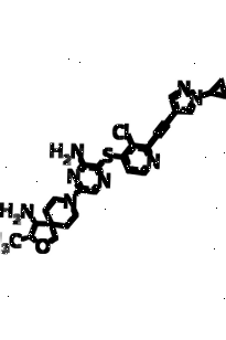 C[C@@H]1OCC2(CCN(c3cnc(Sc4ccnc(C#Cc5cnn(C6CC6)c5)c4Cl)c(N)n3)CC2)[C@@H]1N